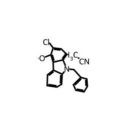 CC#N.[O]c1c(Cl)ccc2c1c1ccccc1n2Cc1ccccc1